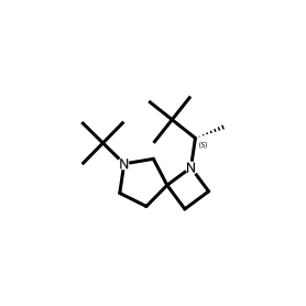 C[C@H](N1CCC12CCN(C(C)(C)C)C2)C(C)(C)C